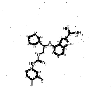 Cc1ccc(NC(=O)OCC(Oc2cccc3sc(C(=N)N)cc23)c2ccccc2)cc1C